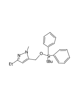 CCc1cc(CO[Si](c2ccccc2)(c2ccccc2)C(C)(C)C)n(C)n1